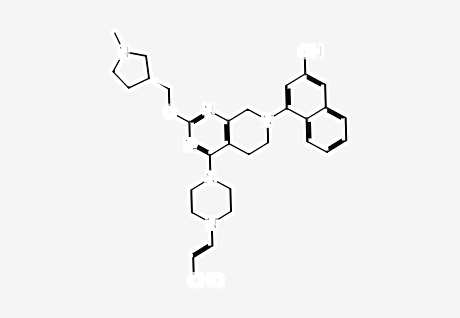 CN1CC[C@H](COc2nc3c(c(N4CCN(C=CC=O)CC4)n2)CCN(c2cc(O)cc4ccccc24)C3)C1